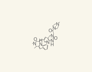 CC(c1cc2ccccc2[nH]1)N(C)C(=O)/C=C/c1cnc2c(c1)CN(CC(=O)N1CCN(C)CC1)C(=O)N2